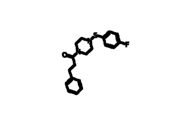 O=C(CCc1ccccc1)N1CCN(Sc2ccc(F)cc2)CC1